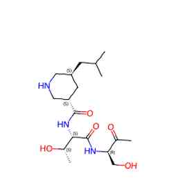 CC(=O)[C@@H](CO)NC(=O)[C@@H](NC(=O)[C@@H]1CNC[C@@H](CC(C)C)C1)[C@H](C)O